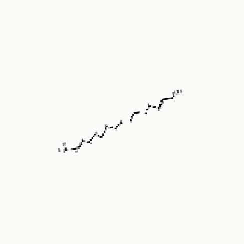 [CH2]CC=CCCCCCCCCCCC=CC